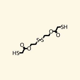 O=C(CS)OCCSSCCOC(=O)CS